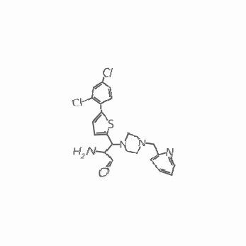 NC(C=O)C(c1ccc(-c2ccc(Cl)cc2Cl)s1)N1CCN(Cc2ccccn2)CC1